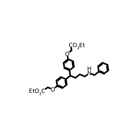 CCOC(=O)COc1ccc(C(CCCNCc2ccccc2)c2ccc(OCC(=O)OCC)cc2)cc1